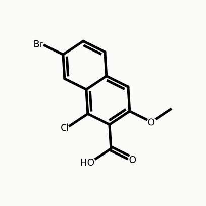 COc1cc2ccc(Br)cc2c(Cl)c1C(=O)O